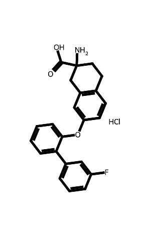 Cl.NC1(C(=O)O)CCc2ccc(Oc3ccccc3-c3cccc(F)c3)cc2C1